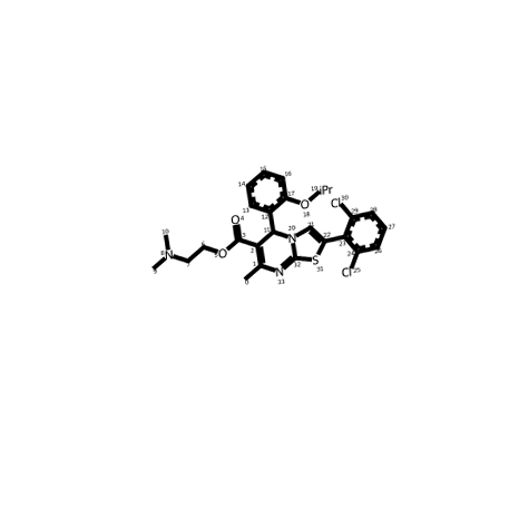 CC1=C(C(=O)OCCN(C)C)C(c2ccccc2OC(C)C)N2C=C(c3c(Cl)cccc3Cl)SC2=N1